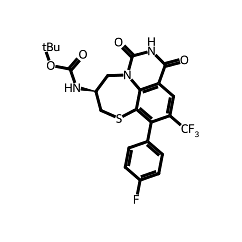 CC(C)(C)OC(=O)N[C@@H]1CSc2c(-c3ccc(F)cc3)c(C(F)(F)F)cc3c(=O)[nH]c(=O)n(c23)C1